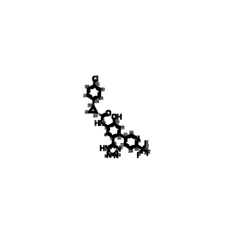 O=C(Nc1cc(-c2nnn[nH]2)c(-c2ccc(C(F)(F)F)nc2)cc1O)[C@@H]1C[C@H]1c1ccc(Cl)cc1